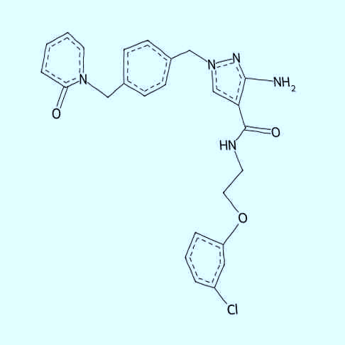 Nc1nn(Cc2ccc(Cn3ccccc3=O)cc2)cc1C(=O)NCCOc1cccc(Cl)c1